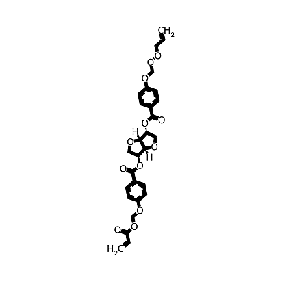 C=CCOOCOc1ccc(C(=O)O[C@@H]2CO[C@H]3[C@@H]2OC[C@@H]3OC(=O)c2ccc(OCOC(=O)C=C)cc2)cc1